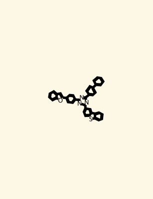 c1ccc(-c2ccc(-c3nc(-c4ccc(-c5cc6ccccc6o5)cc4)nc(-c4ccc5sc6ccccc6c5c4)n3)cc2)cc1